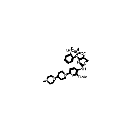 COc1nc(N2CCC(N3CCN(C)CC3)CC2)ccc1Nc1ncc(Cl)c(N(c2ccccc2S(C)(=O)=O)S(C)(=O)=O)n1